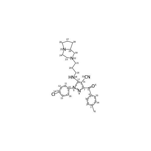 Cc1ccc(C(=O)c2nn(-c3ccc(Cl)cc3)c(NCCCN3CCN4CCCC4C3)c2C#N)cc1